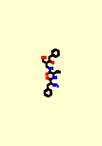 CCC(C)C(NC(=O)C(N)Cc1ccccc1)C(=O)NCC(CO)C(=O)Cc1ccccc1